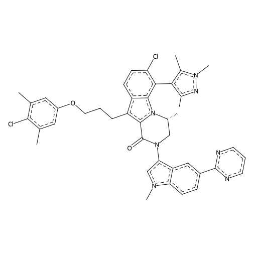 Cc1cc(OCCCc2c3n(c4c(-c5c(C)nn(C)c5C)c(Cl)ccc24)[C@H](C)CN(c2cn(C)c4ccc(-c5ncccn5)cc24)C3=O)cc(C)c1Cl